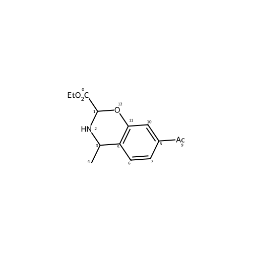 CCOC(=O)C1NC(C)c2ccc(C(C)=O)cc2O1